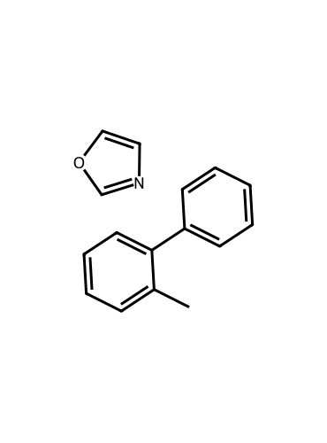 Cc1ccccc1-c1ccccc1.c1cocn1